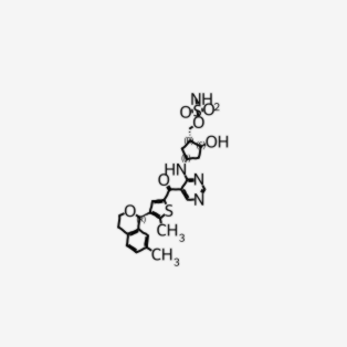 Cc1ccc2c(c1)[C@H](c1cc(C(=O)c3cncnc3N[C@@H]3C[C@H](COS(N)(=O)=O)[C@@H](O)C3)sc1C)OCC2